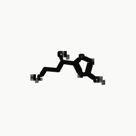 CCC[C@H](C)c1nc(C)no1